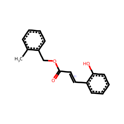 Cc1ccccc1COC(=O)/C=C/c1ccccc1O